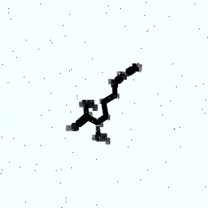 C[C@@H](C[CH]CN=[N+]=[N-])C(N)=O